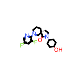 O=C1N([C@H]2CC[C@@H](O)CC2)CC[C@]12CCCN(c1ncc(F)cc1F)C2